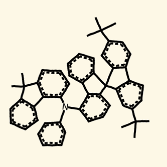 CC(C)(C)c1ccc2c(c1)C1(c3cc(C(C)(C)C)ccc3-2)c2ccccc2-c2c(N(c3ccccc3)c3cccc4c3-c3ccccc3C4(C)C)cccc21